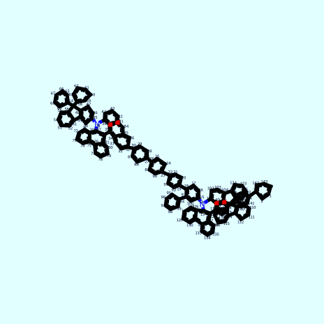 c1ccc(-c2ccc(-c3ccc(-c4c(N(c5ccc(-c6ccc(-c7ccc(-c8ccc(-c9ccc%10c(-c%11c(N(c%12ccccc%12)c%12ccc%13c(c%12)-c%12ccccc%12C%13(c%12ccccc%12)c%12ccccc%12)c%12ccccc%12c%12ccccc%11%12)cccc%10c9)cc8)cc7)cc6)c(-c6ccccc6)c5)c5ccc6c(c5)C5(c7ccccc7-c7ccccc75)c5ccccc5-6)c5ccccc5c5ccccc45)cc3)cc2)cc1